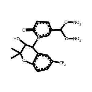 CC1(C)Oc2ccc(C(F)(F)F)cc2C(n2cc(C(O[N+](=O)[O-])O[N+](=O)[O-])ccc2=O)C1O